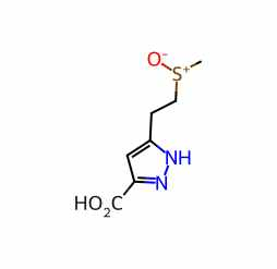 C[S+]([O-])CCc1cc(C(=O)O)n[nH]1